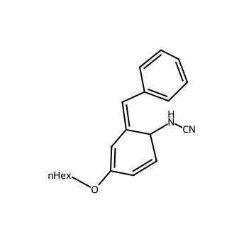 CCCCCCOC1=CC(=Cc2ccccc2)C(NC#N)C=C1